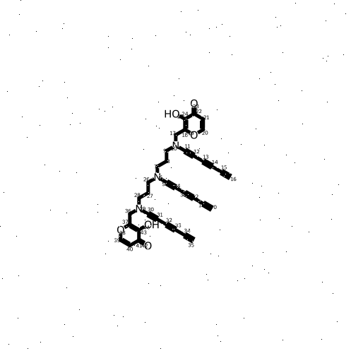 C#CC#CC#CN(CCCN(C#CC#CC#C)Cc1occc(=O)c1O)CCCN(C#CC#CC#C)Cc1occc(=O)c1O